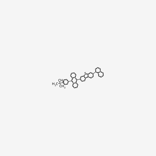 CC(C)(C)c1ccc(-c2c3ccccc3c(-c3ccc4c(c3)sc3cc(-c5cccc6ccccc56)ccc34)c3ccccc23)cc1